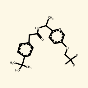 CC(NC(=O)Cc1ccc(C(C)(C)O)cc1)c1ccc(OCC(F)(F)F)cn1